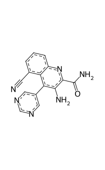 N#Cc1cccc2nc(C(N)=O)c(N)c(-c3cncnc3)c12